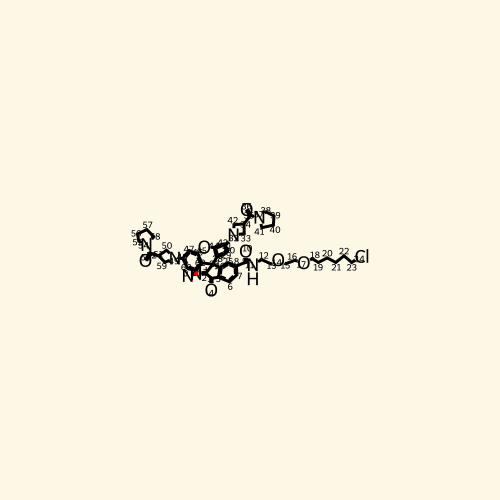 [N-]=[N+]=C1C(=O)c2ccc(C(=O)NCCOCCOCCCCCCCl)cc2C12c1ccc(N3CC(C(=O)N4CCCC4)C3)cc1Oc1cc(N3CC(C(=O)N4CCCC4)C3)ccc12